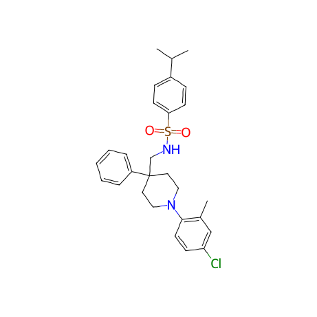 Cc1cc(Cl)ccc1N1CCC(CNS(=O)(=O)c2ccc(C(C)C)cc2)(c2ccccc2)CC1